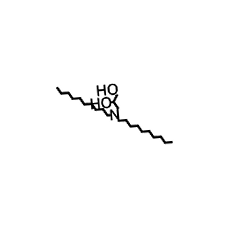 CCCCCCCCCCN(CCCCCCCCCC)CC(O)CO